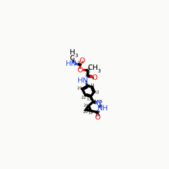 CNC(=O)OC(C)C(=O)Nc1ccc(C2=NNC(=O)C3CC23)cc1